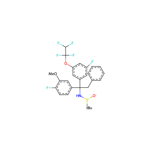 COc1cc(C(Cc2ccccc2)(N[S+]([O-])C(C)(C)C)c2cc(F)cc(OC(F)(F)C(F)F)c2)ccc1F